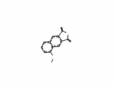 CBc1cccc2cc3c(cc12)C(=O)OC3=O